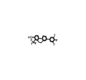 Oc1ccc2c(c1C(F)(F)F)CCc1cc(-c3cc(F)c(F)c(F)c3)ccc1-2